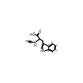 N#CNC(Cc1c[nH]c2ccccc12)C(=O)O